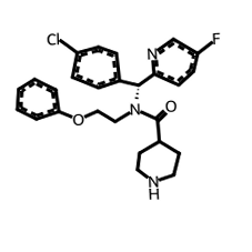 O=C(C1CCNCC1)N(CCOc1ccccc1)[C@H](c1ccc(Cl)cc1)c1ccc(F)cn1